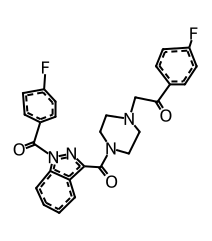 O=C(CN1CCN(C(=O)c2nn(C(=O)c3ccc(F)cc3)c3ccccc23)CC1)c1ccc(F)cc1